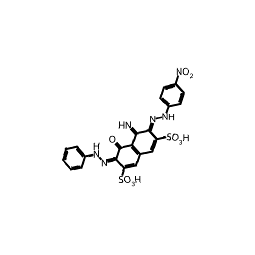 N=c1c(=NNc2ccc([N+](=O)[O-])cc2)c(S(=O)(=O)O)cc2cc(S(=O)(=O)O)c(=NNc3ccccc3)c(=O)c1=2